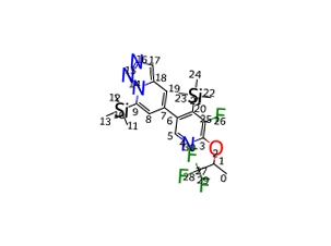 CC(Oc1ncc(-c2cc([Si](C)(C)C)n3nncc3c2)c([Si](C)(C)C)c1F)C(F)(F)F